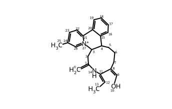 C=C1CC2C(CCCC(=C/O)/C(=C/C)N1)c1ccccc1-c1ccc(C)c[n+]12